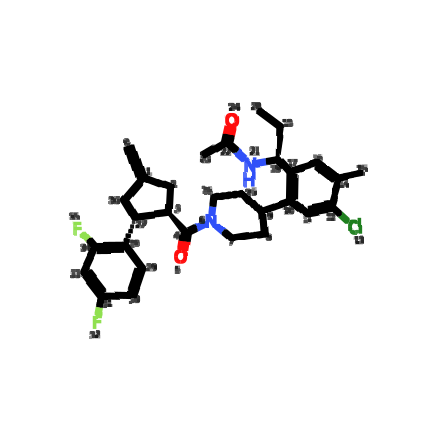 C=C1C[C@@H](C(=O)N2CCC(c3cc(Cl)c(C)cc3[C@H](CC)NC(C)=O)CC2)[C@H](c2ccc(F)cc2F)C1